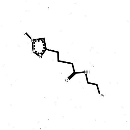 CC(C)CCNC(=O)CCCc1cn(C)nn1